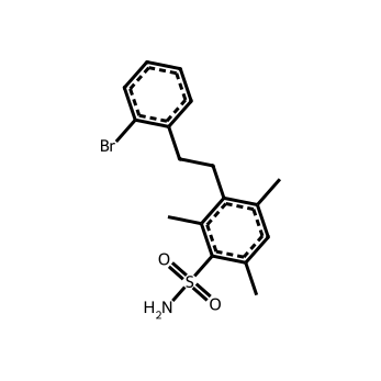 Cc1cc(C)c(S(N)(=O)=O)c(C)c1CCc1ccccc1Br